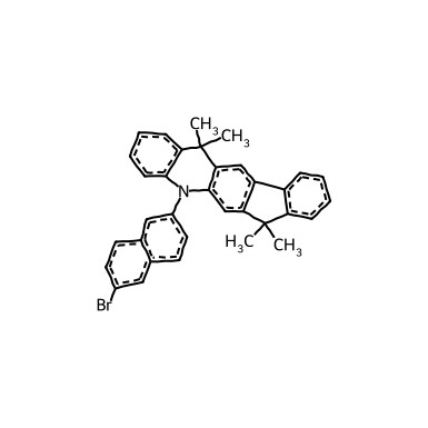 CC1(C)c2ccccc2-c2cc3c(cc21)N(c1ccc2cc(Br)ccc2c1)c1ccccc1C3(C)C